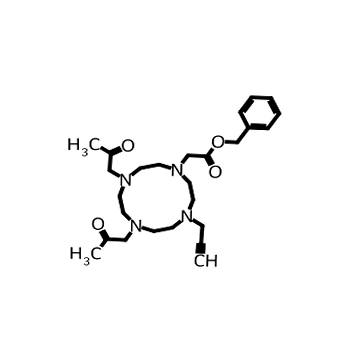 C#CCN1CCN(CC(C)=O)CCN(CC(C)=O)CCN(CC(=O)OCc2ccccc2)CC1